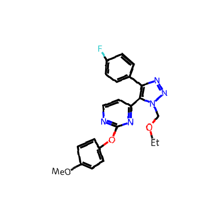 CCOCn1nnc(-c2ccc(F)cc2)c1-c1ccnc(Oc2ccc(OC)cc2)n1